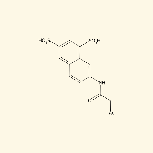 CC(=O)CC(=O)Nc1ccc2cc(S(=O)(=O)O)cc(S(=O)(=O)O)c2c1